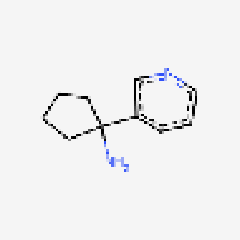 NC1(c2cccnc2)CCCC1